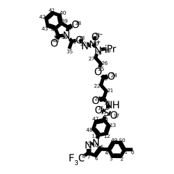 Cc1ccc(-c2cc(C(F)(F)F)nn2-c2ccc(S(=O)(=O)NC(=O)CCC(=O)OCCN(C(C)C)[N+]([O-])=NOC(C)N3C(=O)c4ccccc4C3=O)cc2)cc1